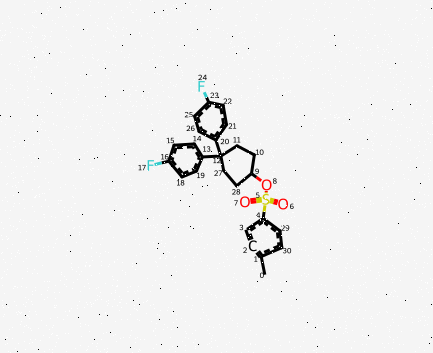 Cc1ccc(S(=O)(=O)OC2CCC(c3ccc(F)cc3)(c3ccc(F)cc3)CC2)cc1